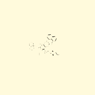 C/C=C/S(=O)(=O)CCN(C)c1nc(OCC23CCCN2CCC3)nc2c1CCN(c1cccc3cccc(Cl)c13)C2